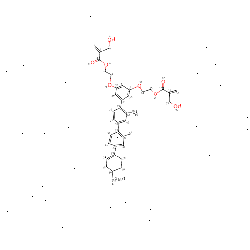 C=C(CO)C(=O)OCCOc1cc(OCCOC(=O)C(=C)CO)cc(-c2ccc(-c3ccc(C4=CCC(CCCCC)CC4)cc3C)cc2CC)c1